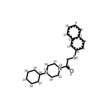 O=C(CSc1ccc2ccccc2c1)N1CCN(C2CCCCC2)CC1